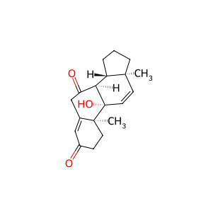 C[C@]12CCC(=O)C=C1CC(=O)[C@H]1[C@@H]3CCC[C@@]3(C)C=C[C@]12O